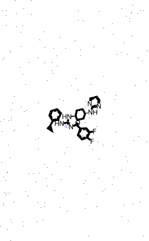 O=C(/N=C(/Nc1ccccc1C1CC1)N[C@H]1CC[C@H](Nc2ncccn2)CC1)c1ccc(F)c(F)c1